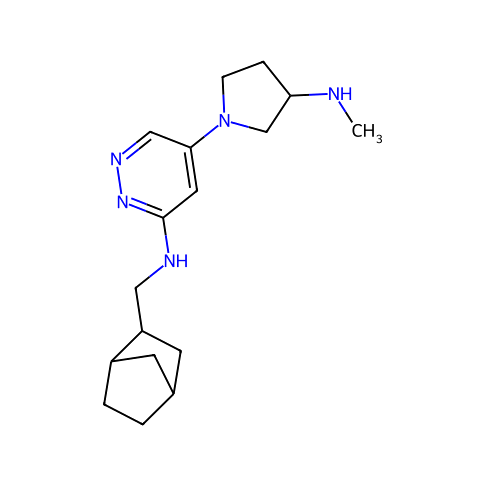 CNC1CCN(c2cnnc(NCC3CC4CCC3C4)c2)C1